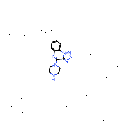 c1ccc2c(c1)nc(N1CCNCC1)c1nnnn12